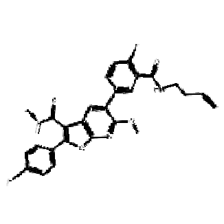 C=CCCNC(=O)c1cc(-c2cc3c(C(=O)NC)c(-c4ccc(F)cc4)oc3nc2OC)ccc1F